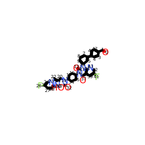 O=Cc1ccc(-c2cccc(-n3c(=O)n([C@H]4CC[C@@H](N(Cc5cn6cc(F)ccc6n5)C(=O)O)CC4)c(=O)c4cc(F)cnc43)c2)cc1